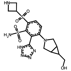 NS(=O)(=O)c1c(S(=O)(=O)C2CNC2)ccc(N2CC3C(CO)C3C2)c1-c1nnn[nH]1